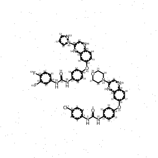 O=C(Nc1ccc(Cl)cc1)Nc1ccc(Oc2ccc3ncc(N4CCOCC4)nc3c2)cc1.O=C(Nc1ccc(Oc2ccc3ncc(-n4cccn4)nc3c2)cc1)Nc1ccc(F)c(F)c1